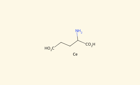 NC(CCC(=O)O)C(=O)O.[Ce]